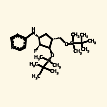 CC(C)(C)[Si](C)(C)OC[C@H]1C[C@@H](Nc2[c]cncc2)[C@@H](F)[C@@H]1O[Si](C)(C)C(C)(C)C